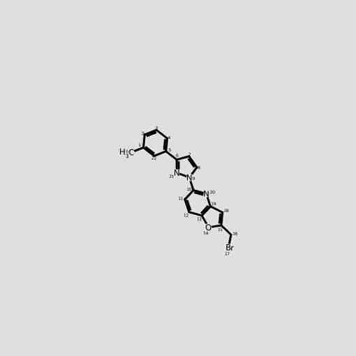 Cc1cccc(-c2ccn(-c3ccc4oc(CBr)cc4n3)n2)c1